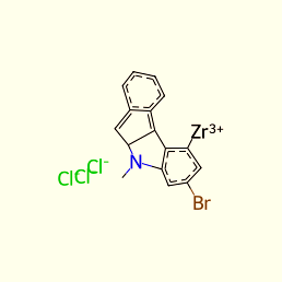 CN1c2cc(Br)c[c]([Zr+3])c2C2=c3ccccc3=CC21.[Cl-].[Cl-].[Cl-]